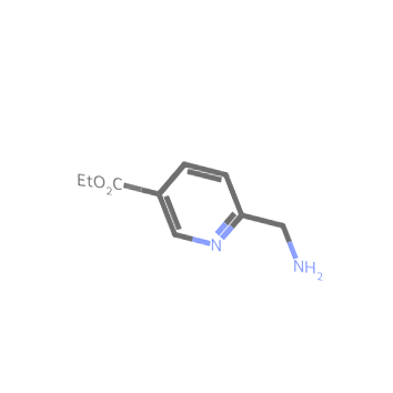 CCOC(=O)c1ccc(CN)nc1